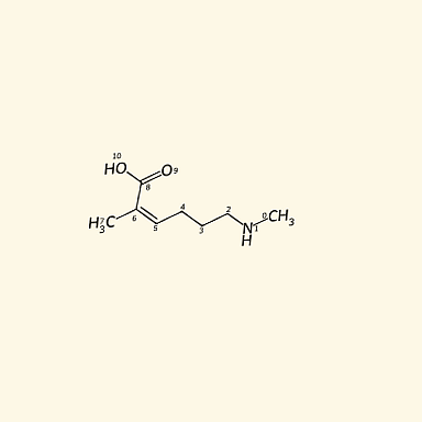 CNCCCC=C(C)C(=O)O